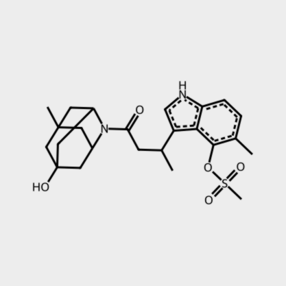 Cc1ccc2[nH]cc(C(C)CC(=O)N3C4CC5(C)CC3CC(O)(C4)C5)c2c1OS(C)(=O)=O